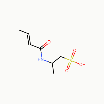 C/C=C/C(=O)NC(C)CS(=O)(=O)O